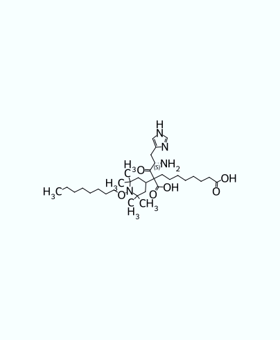 CCCCCCCCON1C(C)(C)CC(C(CCCCCCCC(=O)O)(C(=O)O)C(=O)[C@@H](N)Cc2c[nH]cn2)CC1(C)C